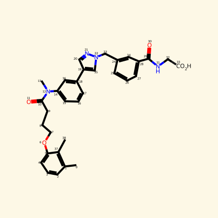 Cc1cccc(OCCCC(=O)N(C)c2cccc(-c3cnn(Cc4cccc(C(=O)NCC(=O)O)c4)c3)c2)c1C